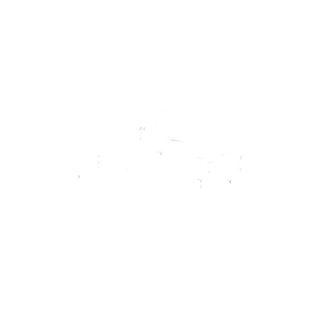 O=C1NC(c2ccc(Br)cc2)=N/C1=C\c1c[nH]c2ncccc12